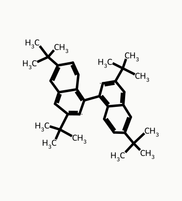 CC(C)(C)c1[c]c(-c2[c]c(C(C)(C)C)cc3cc(C(C)(C)C)ccc23)c2ccc(C(C)(C)C)cc2c1